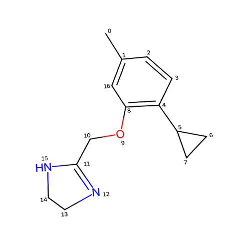 Cc1ccc(C2CC2)c(OCC2=NCCN2)c1